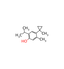 Cc1cc(O)c(C(C)C)cc1C1(C)CC1